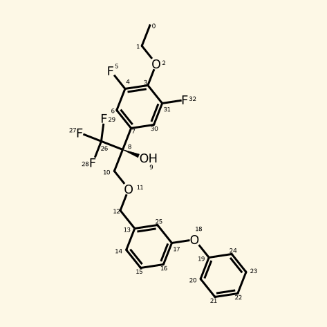 CCOc1c(F)cc([C@](O)(COCc2cccc(Oc3ccccc3)c2)C(F)(F)F)cc1F